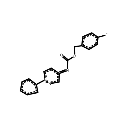 O=C(/N=c1\ccn(-c2ccccc2)nc1)OCc1ccc(F)cc1